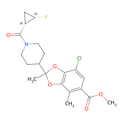 COC(=O)c1cc(Cl)c2c(c1C)OC(C)(C1CCN(C(=O)[C@@H]3C[C@@H]3F)CC1)O2